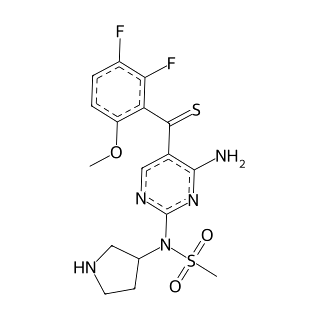 COc1ccc(F)c(F)c1C(=S)c1cnc(N(C2CCNC2)S(C)(=O)=O)nc1N